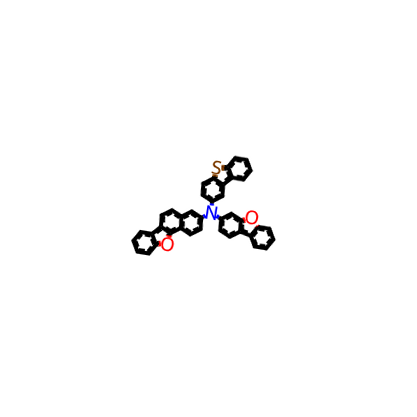 c1ccc2c(c1)oc1cc(N(c3ccc4c(ccc5c6ccccc6oc45)c3)c3ccc4sc5ccccc5c4c3)ccc12